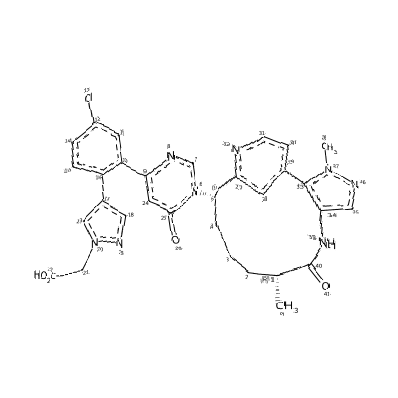 C[C@@H]1CCC[C@H](n2cnc(-c3cc(Cl)ccc3-c3cnn(CC(=O)O)c3)cc2=O)c2cc(ccn2)-c2c(cnn2C)NC1=O